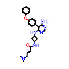 CN(C)C/C=C/C(=O)NC1CC(Nc2ncnc(N)c2-c2ccc(Oc3ccccc3)cc2)C1